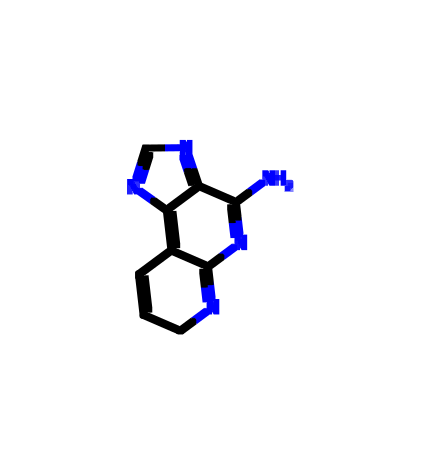 Nc1nc2c(c3c1=NC=N3)C=CCN=2